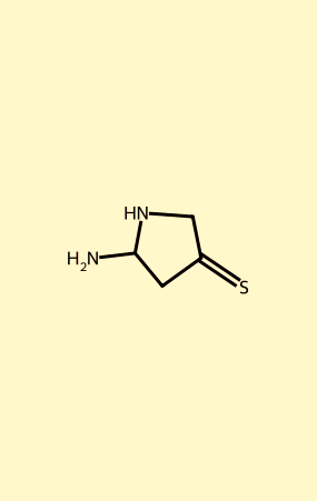 NC1CC(=S)CN1